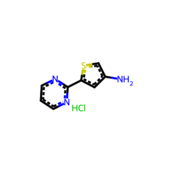 Cl.Nc1csc(-c2ncccn2)c1